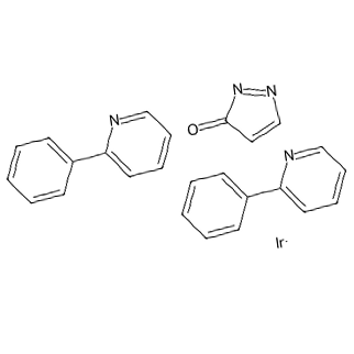 O=C1C=CN=N1.[Ir].c1ccc(-c2ccccn2)cc1.c1ccc(-c2ccccn2)cc1